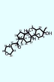 CC1(O)CC[C@@]2(C)C(CC[C@H]3[C@@H]4CC[C@H](C(=O)CN5CCOCC5)[C@@]4(C)CC[C@@H]32)C1